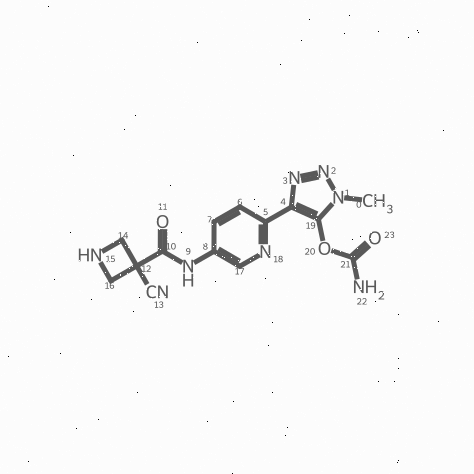 Cn1nnc(-c2ccc(NC(=O)C3(C#N)CNC3)cn2)c1OC(N)=O